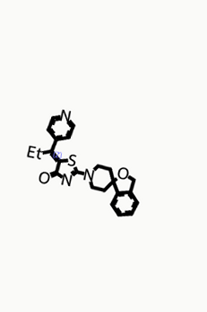 CC/C(=C1/SC(N2CCC3(CC2)OCc2ccccc23)=NC1=O)c1ccncc1